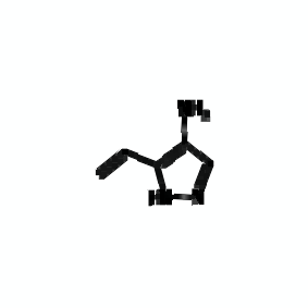 C=Cc1[nH]ncc1N